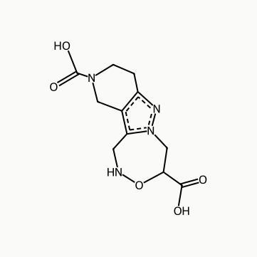 O=C(O)C1Cn2nc3c(c2CNO1)CN(C(=O)O)CC3